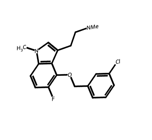 CNCCc1cn(C)c2ccc(F)c(OCc3cccc(Cl)c3)c12